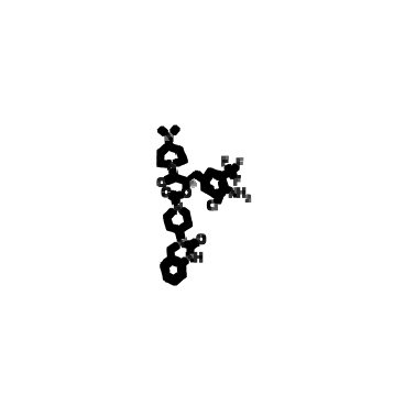 CN(C)C1CCN(C(=O)[C@@H](Cc2cc(Cl)c(N)c(C(F)(F)F)c2)OC(=O)N2CCC(N3Cc4ccccc4NC3=O)CC2)CC1